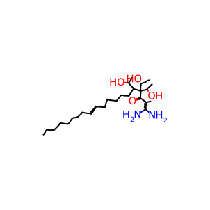 CCCCCCCCC=CCCCCCC(C(C)O)C(C(=O)C(C)=C(N)N)(C(C)O)C(C)O